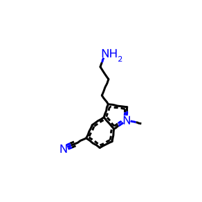 Cn1cc(CCCN)c2cc(C#N)ccc21